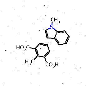 Cc1c(C(=O)O)cccc1C(=O)O.Cn1ccc2ccccc21